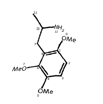 COc1ccc(OC)c(OC)c1CC(C)N